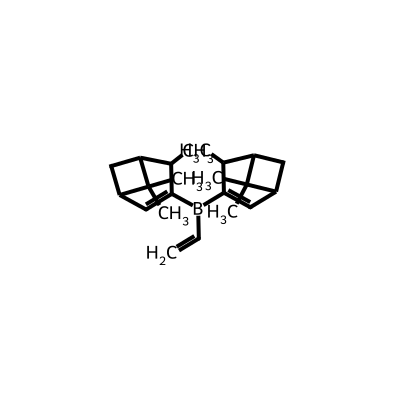 C=CB(C1=CC2CC(C1C)C2(C)C)C1=CC2CC(C1C)C2(C)C